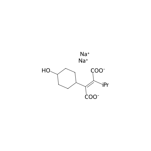 CC(C)C(C(=O)[O-])=C(C(=O)[O-])C1CCC(O)CC1.[Na+].[Na+]